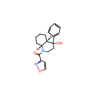 O=C(c1ccon1)N1CCC(O)(c2ccccc2)[C@H]2CCCC[C@H]21